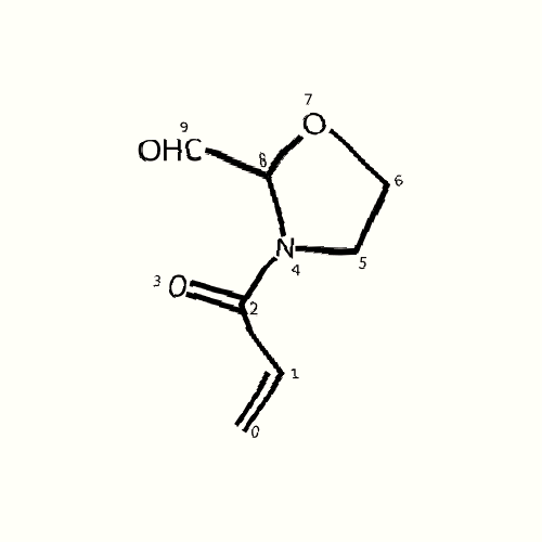 C=CC(=O)N1CCOC1C=O